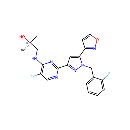 CC(=O)[C@@](C)(O)CNc1nc(-c2cc(-c3ccon3)n(Cc3ccccc3F)n2)ncc1F